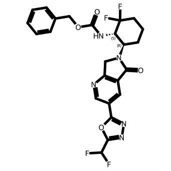 O=C(N[C@H]1[C@H](N2Cc3ncc(-c4nnc(C(F)F)o4)cc3C2=O)CCCC1(F)F)OCc1ccccc1